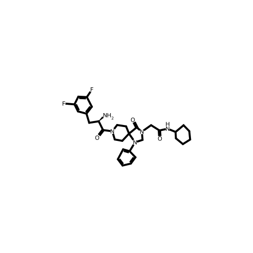 N[C@H](Cc1cc(F)cc(F)c1)C(=O)N1CCC2(CC1)C(=O)N(CC(=O)NC1CCCCC1)CN2c1ccccc1